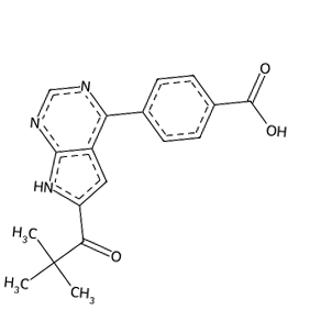 CC(C)(C)C(=O)c1cc2c(-c3ccc(C(=O)O)cc3)ncnc2[nH]1